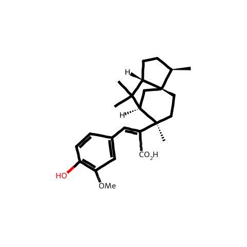 COc1cc(/C=C(\C(=O)O)[C@]2(C)CC[C@@]34C[C@@H]2C(C)(C)[C@@H]3CC[C@H]4C)ccc1O